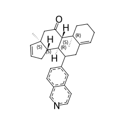 C[C@@]12C=CC[C@H]1[C@@H]1C(c3ccc4cnccc4c3)CC3=CCCC[C@]3(C)[C@H]1C(=O)C2